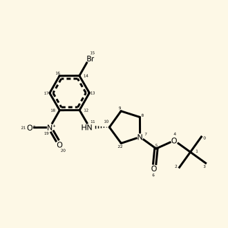 CC(C)(C)OC(=O)N1CC[C@@H](Nc2cc(Br)ccc2[N+](=O)[O-])C1